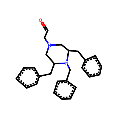 O=[C]CN1CC(Cc2ccccc2)N(Cc2ccccc2)C(Cc2ccccc2)C1